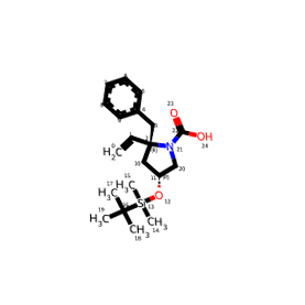 C=C[C@@]1(Cc2ccccc2)C[C@@H](O[Si](C)(C)C(C)(C)C)CN1C(=O)O